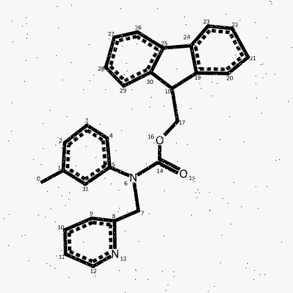 Cc1cccc(N(Cc2ccccn2)C(=O)OCC2c3ccccc3-c3ccccc32)c1